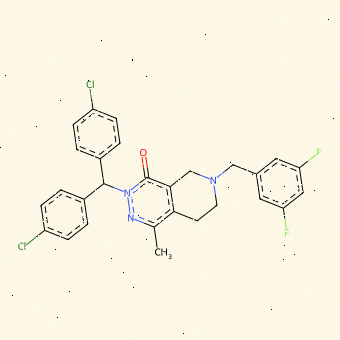 Cc1nn(C(c2ccc(Cl)cc2)c2ccc(Cl)cc2)c(=O)c2c1CCN(Cc1cc(F)cc(F)c1)C2